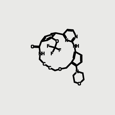 O=C1NCCCCOCc2cc(ccc2N2CCOCC2)Nc2nccc(n2)-c2ccc1cc2OC(F)(F)F